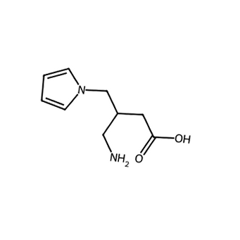 NCC(CC(=O)O)Cn1cccc1